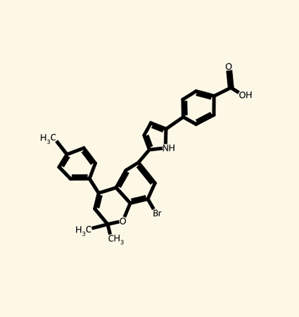 Cc1ccc(C2=CC(C)(C)Oc3c(Br)cc(-c4ccc(-c5ccc(C(=O)O)cc5)[nH]4)cc32)cc1